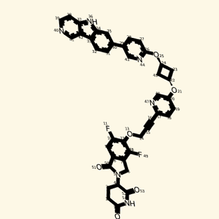 O=C1CCC(N2Cc3c(cc(F)c(OCC#Cc4ccc(O[C@H]5C[C@H](Oc6ccc(-c7ccc8c(c7)[nH]c7ccncc78)cn6)C5)cn4)c3F)C2=O)C(=O)N1